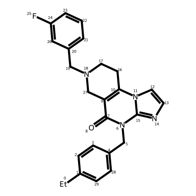 CCc1ccc(Cn2c(=O)c3c(n4ccnc24)CCN(Cc2cccc(F)c2)C3)cc1